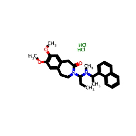 CCC(N1CCc2cc(OC)c(OC)cc2CC1=O)N(C)C(C)c1cccc2ccccc12.Cl.Cl